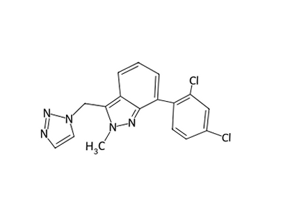 Cn1nc2c(-c3ccc(Cl)cc3Cl)cccc2c1Cn1ccnn1